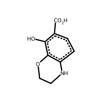 O=C(O)c1ccc2c(c1O)OCCN2